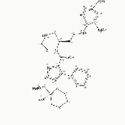 COC[C@]1(O)CCCC[C@H]1n1cnc(C(=O)N2CCNC[C@H]2CCNc2ccc(C)cc2OC)c1-c1ccccc1